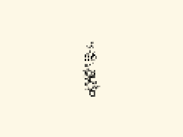 CC=C[C@H]1CO[C@H](CC[C@H]2CO[C@H](c3ccc(Cl)c(F)c3)OC2)OC1